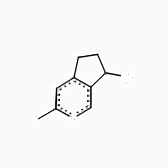 Cc1cc2c(cn1)C(O)CC2